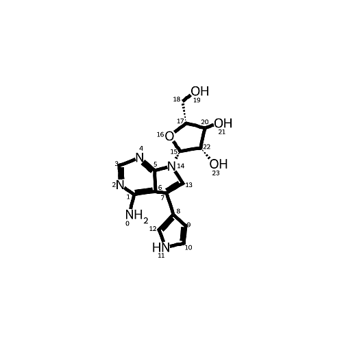 Nc1ncnc2c1c(-c1cc[nH]c1)cn2[C@@H]1O[C@H](CO)C(O)[C@@H]1O